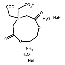 N.O.O.O=C([O-])C[N+]1(CC(=O)O)CC(=O)OCCOC(=O)C1.[NaH].[NaH]